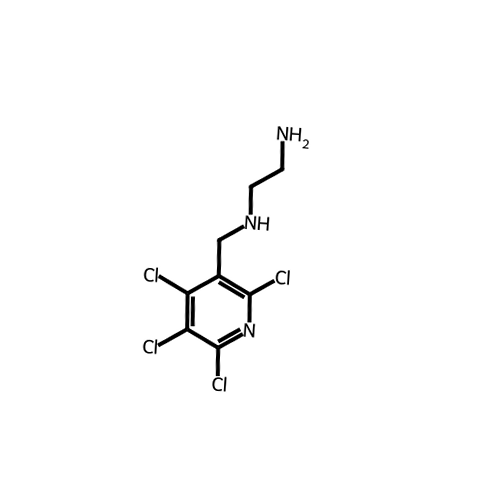 NCCNCc1c(Cl)nc(Cl)c(Cl)c1Cl